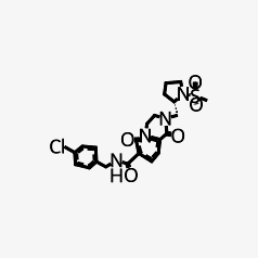 CS(=O)(=O)N1CCC[C@H]1CN1CCn2c(ccc(C(=O)NCc3ccc(Cl)cc3)c2=O)C1=O